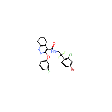 O=C(NCC(F)(F)c1ccc(Br)cc1Cl)c1c(Oc2cccc(Cl)c2)nnc2c1CCCC2